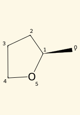 [CH2][C@@H]1CCCO1